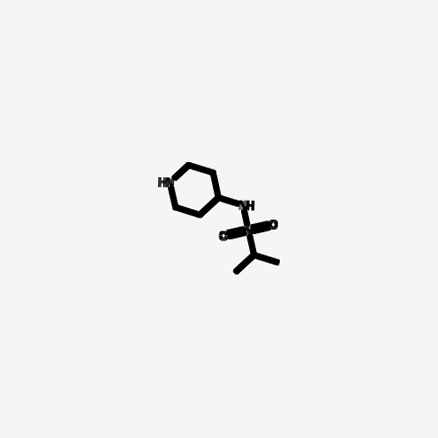 CC(C)S(=O)(=O)NC1CCNCC1